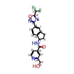 O=C(NC1CCc2cc(-c3noc(C(F)F)n3)ccc21)c1ccnc(CO)c1